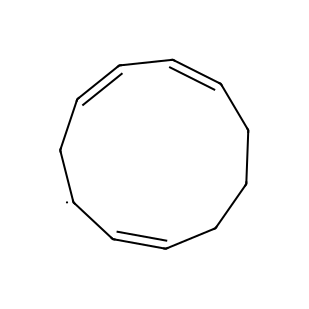 [CH]1C=CCCCC=CC=CC1